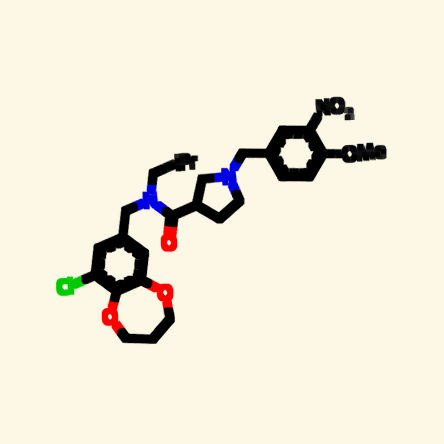 COc1ccc(CN2CCC(C(=O)N(Cc3cc(Cl)c4c(c3)OCCCO4)CC(C)C)C2)cc1[N+](=O)[O-]